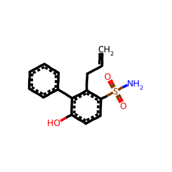 C=CCc1c(S(N)(=O)=O)ccc(O)c1-c1ccccc1